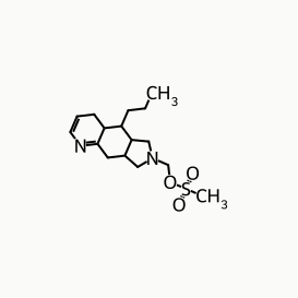 CCCC1C2CC=CN=C2CC2CN(COS(C)(=O)=O)CC21